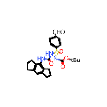 CC(C)(C)OC(=O)N=S(=O)(NC(=O)Nc1c2c(cc3c1CCC3)CCC2)c1ccc(C=O)cc1